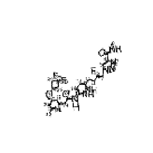 CNC(=O)c1cn(C[C@H](F)CCC2=CC=C(NC(=O)Cc3cc(OC4CC(F)(F)C4)cc(C)n3)NN2)nn1